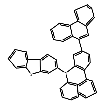 c1ccc(-c2ccc(-c3cc4ccccc4c4ccccc34)cc2N(c2ccccc2)c2ccc3c(c2)sc2ccccc23)cc1